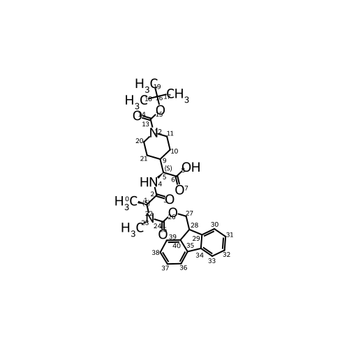 C[C@@H](C(=O)N[C@H](C(=O)O)C1CCN(C(=O)OC(C)(C)C)CC1)N(C)C(=O)OCC1c2ccccc2-c2ccccc21